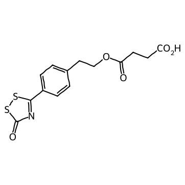 O=C(O)CCC(=O)OCCc1ccc(-c2nc(=O)ss2)cc1